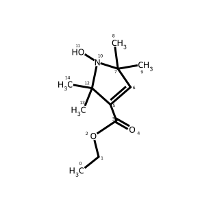 CCOC(=O)C1=CC(C)(C)N(O)C1(C)C